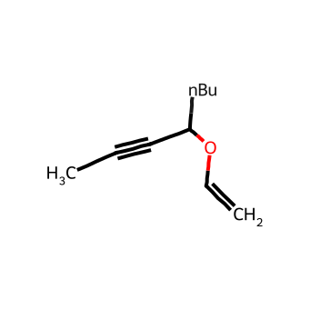 C=COC(C#CC)CCCC